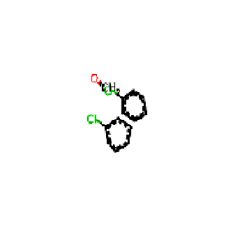 C=O.Clc1ccccc1.Clc1ccccc1